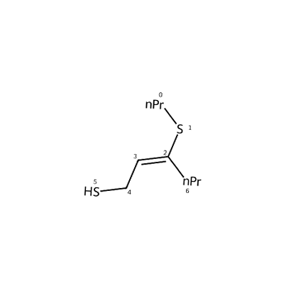 CCCSC(=CCS)CCC